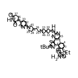 CCC(c1cccc(-c2nc(C(C)(C)C)sc2-c2ccnc(NC3CC4(C3)CN(CC[C@H]3CCN(c5ccc([C@@H]6CCC(=O)NC6=O)cn5)C3)C4)n2)c1F)S(N)(=O)=O